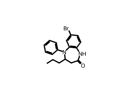 CCCC1CC(=O)Nc2ccc(Br)cc2N1c1ccccc1